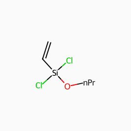 C=C[Si](Cl)(Cl)OCCC